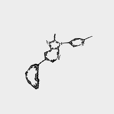 Cc1cc(-n2c(C)nc3cc(-c4ccccc4)cnc32)cs1